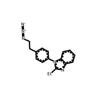 CCc1nc2ccccc2n1-c1ccc(CCN=[N+]=[N-])cc1